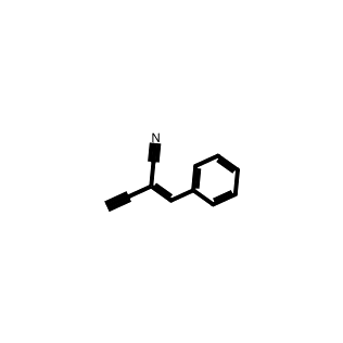 C#CC(C#N)=Cc1ccccc1